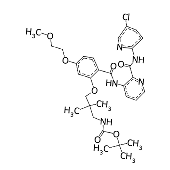 COCCOc1ccc(C(=O)Nc2cccnc2C(=O)Nc2ccc(Cl)cn2)c(OCC(C)(C)CNC(=O)OC(C)(C)C)c1